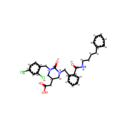 O=C(O)CC1CN(Cc2ccc(Cl)cc2Cl)C(=O)N(Cc2ccccc2C(=O)NCCCCc2ccccc2)C1